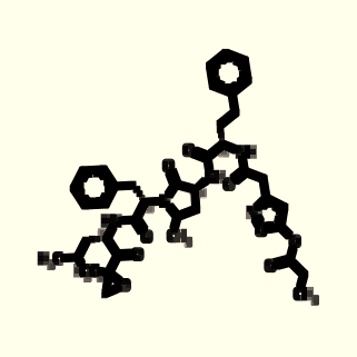 CCC(=O)Oc1cc(CC(=O)N[C@@H](CCc2ccccc2)C(=O)N[C@H]2CC(C)N([C@@H](Cc3ccccc3)C(=O)N[C@@H](CC(C)C)C(=O)C3(C)CO3)C2=O)no1